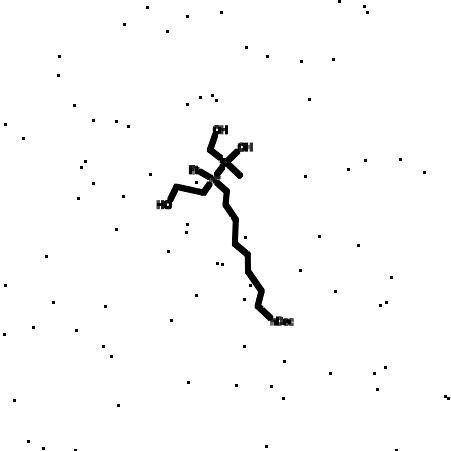 CCCCCCCCCCCCCCCCCC[N+](CC)(CCO)[Si](C)(O)CO